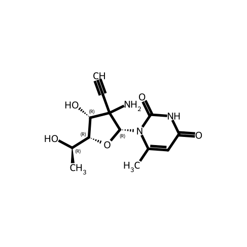 C#CC1(N)[C@@H](O)[C@@H]([C@@H](C)O)O[C@H]1n1c(C)cc(=O)[nH]c1=O